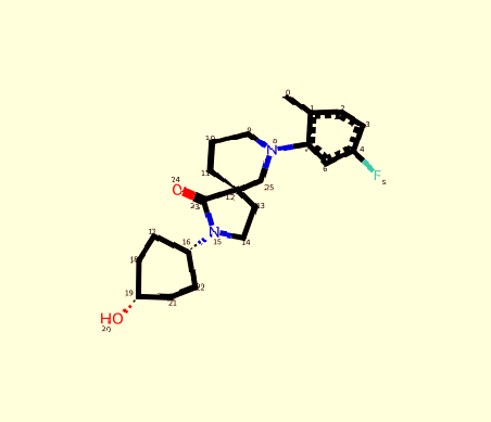 Cc1ccc(F)cc1N1CCC[C@]2(CCN([C@H]3CC[C@@H](O)CC3)C2=O)C1